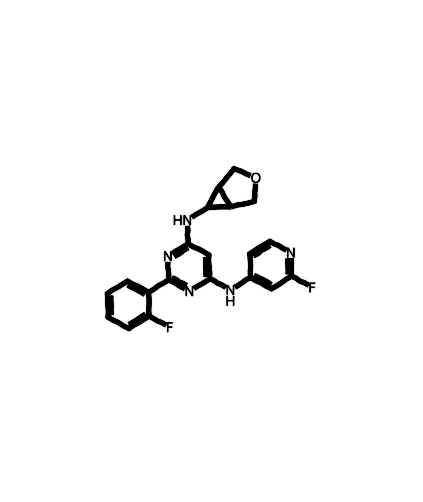 Fc1cc(Nc2cc(NC3C4COCC43)nc(-c3ccccc3F)n2)ccn1